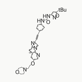 CC(C)(C)c1cc(NC(=O)Nc2ccc(C#Cc3cn4c(n3)sc3cc(OCCN5CCOCC5)cnc34)cc2)no1